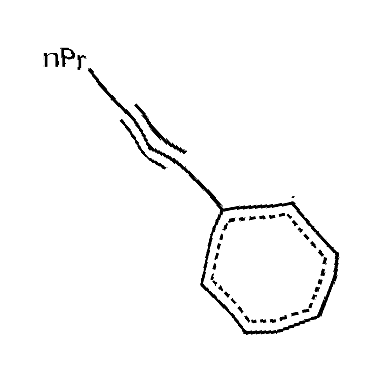 CCCC#Cc1[c]cccc1